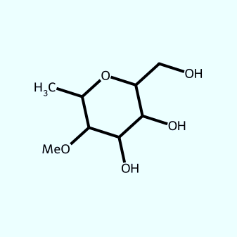 COC1C(C)OC(CO)C(O)C1O